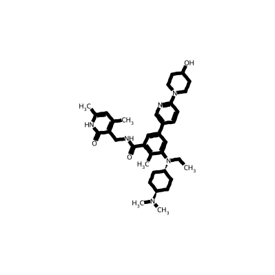 CCN(c1cc(-c2ccc(N3CCC(O)CC3)nc2)cc(C(=O)NCc2c(C)cc(C)[nH]c2=O)c1C)[C@H]1CC[C@H](N(C)C)CC1